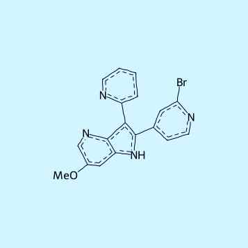 COc1cnc2c(-c3ccccn3)c(-c3ccnc(Br)c3)[nH]c2c1